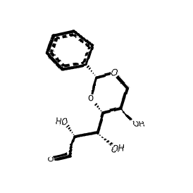 O=C[C@H](O)[C@@H](O)[C@@H]1O[C@H](c2ccccc2)OC[C@H]1O